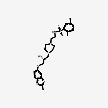 Cc1ccc(C)c(S(=O)(=O)NCCN2CCN(C[C@@H](O)COc3ccc4sc(C)nc4c3)CC2)c1